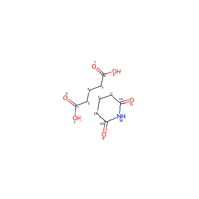 O=C(O)CCCC(=O)O.O=C1CCCC(=O)N1